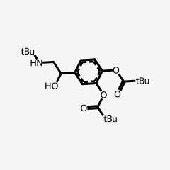 CC(C)(C)NCC(O)c1ccc(OC(=O)C(C)(C)C)c(OC(=O)C(C)(C)C)c1